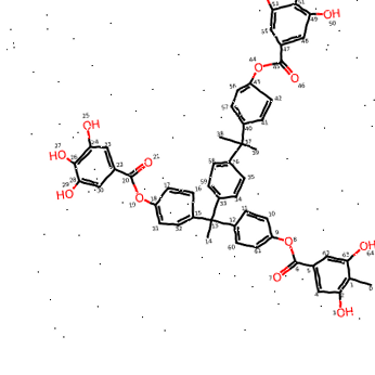 Cc1c(O)cc(C(=O)Oc2ccc(C(C)(c3ccc(OC(=O)c4cc(O)c(O)c(O)c4)cc3)c3ccc(C(C)(C)c4ccc(OC(=O)c5cc(O)c(O)c(O)c5)cc4)cc3)cc2)cc1O